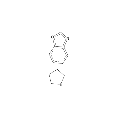 C1CCSC1.c1ccc2ocnc2c1